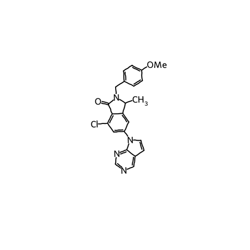 COc1ccc(CN2C(=O)c3c(Cl)cc(-n4ccc5cncnc54)cc3C2C)cc1